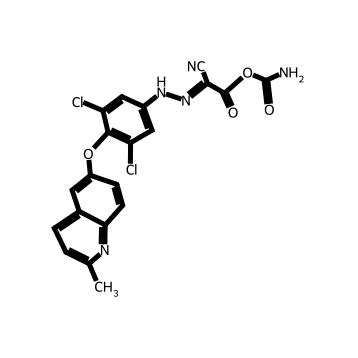 Cc1ccc2cc(Oc3c(Cl)cc(N/N=C(\C#N)C(=O)OC(N)=O)cc3Cl)ccc2n1